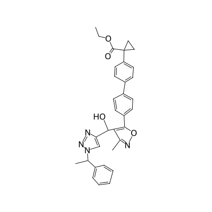 CCOC(=O)C1(c2ccc(-c3ccc(-c4onc(C)c4C(O)c4cn(C(C)c5ccccc5)nn4)cc3)cc2)CC1